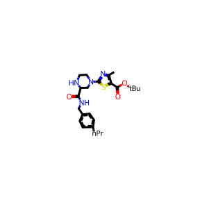 CCCc1ccc(CNC(=O)C2CN(c3nc(C)c(C(=O)OC(C)(C)C)s3)CCN2)cc1